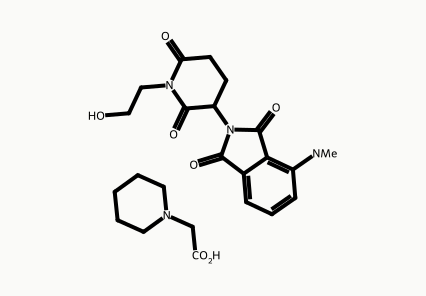 CNc1cccc2c1C(=O)N(C1CCC(=O)N(CCO)C1=O)C2=O.O=C(O)CN1CCCCC1